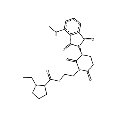 CCN1CCCC1C(=O)OCCN1C(=O)CC[C@H](N2C(=O)c3cccc(NC)c3C2=O)C1=O